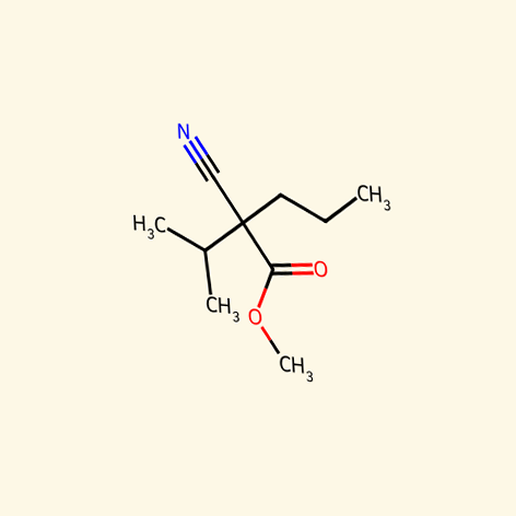 CCCC(C#N)(C(=O)OC)C(C)C